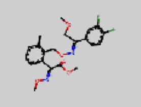 COC/C(=N\OCc1c(C)cccc1/C(=N\OC)C(=O)OC)c1ccc(F)c(F)c1